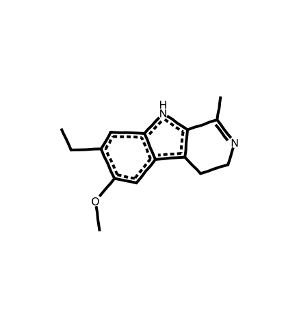 CCc1cc2[nH]c3c(c2cc1OC)CCN=C3C